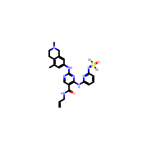 C=CCNC(=O)c1cnc(Nc2cc(C)c3c(c2)CN(C)CC3)nc1Nc1cccc(N=S(=O)(CC)CC)n1